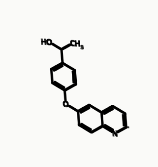 CC(O)c1ccc(Oc2ccc3n[c]ccc3c2)cc1